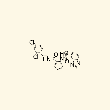 O=C(NCCc1ccc(Cl)cc1Cl)c1ccccc1NS(=O)(=O)c1cccc2nsnc12